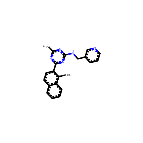 O=Cc1c(-c2nc(NCc3cccnc3)nc(C(Cl)(Cl)Cl)n2)ccc2ccccc12